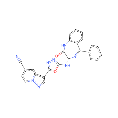 N#Cc1ccn2ncc(-c3nnc(N[C@H]4N=C(c5ccccc5)c5ccccc5NC4=O)o3)c2c1